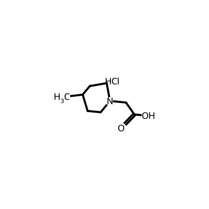 CC1CCN(CC(=O)O)CC1.Cl